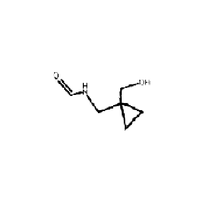 O=CNCC1(CO)CC1